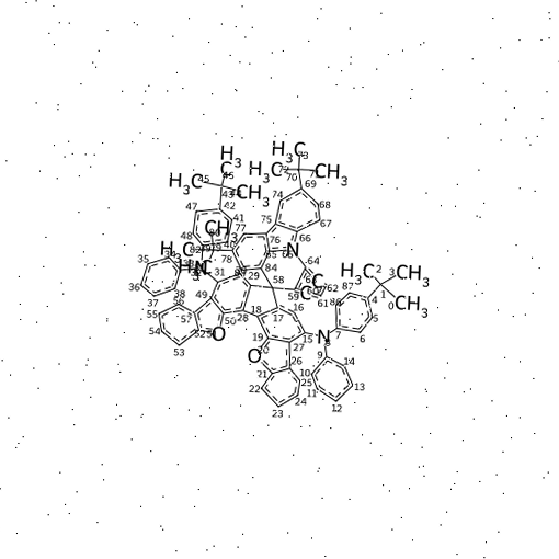 CC(C)(C)c1ccc(N(c2ccccc2)c2cc3c(c4oc5ccccc5c24)-c2c(cc(N(c4ccccc4)c4ccc(C(C)(C)C)cc4)c4c2oc2ccccc24)C32c3ccccc3-n3c4ccc(C(C)(C)C)cc4c4cc(C(C)(C)C)cc2c43)cc1